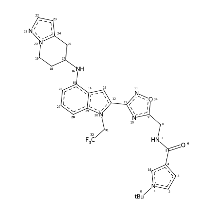 CC(C)(C)n1ccc(C(=O)NCc2nc(-c3cc4c(NC5CCn6nccc6C5)cccc4n3CC(F)(F)F)no2)c1